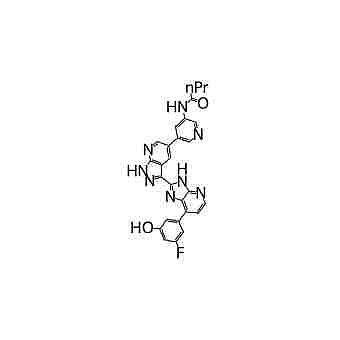 CCCC(=O)Nc1cncc(-c2cnc3[nH]nc(-c4nc5c(-c6cc(O)cc(F)c6)ccnc5[nH]4)c3c2)c1